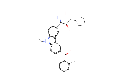 CCn1c2ccc(C(=O)c3ccccc3C)cc2c2cc(C(=NO)C(=O)CC3CCCC3)ccc21